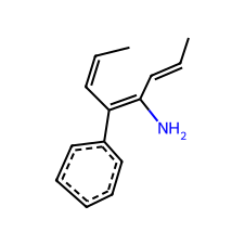 C\C=C/C(=C(N)\C=C\C)c1ccccc1